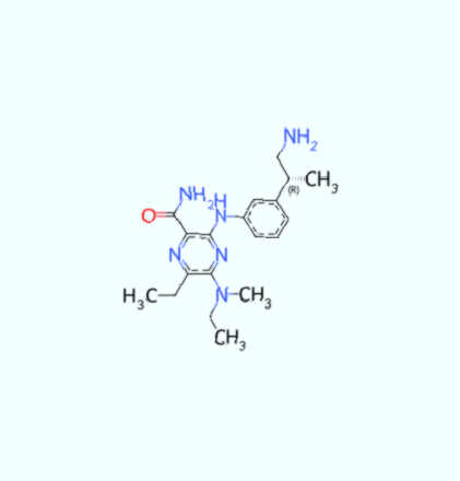 CCc1nc(C(N)=O)c(Nc2cccc([C@@H](C)CN)c2)nc1N(C)CC